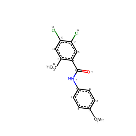 COc1ccc(NC(=O)c2cc(Cl)c(Cl)cc2C(=O)O)cc1